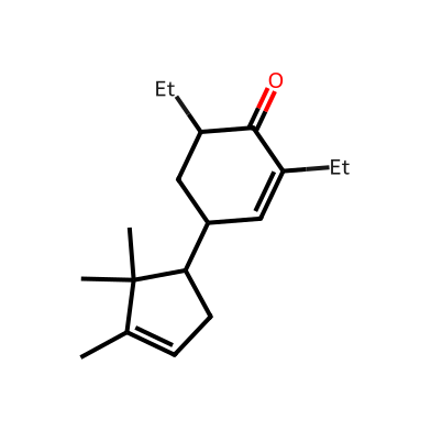 CCC1=CC(C2CC=C(C)C2(C)C)CC(CC)C1=O